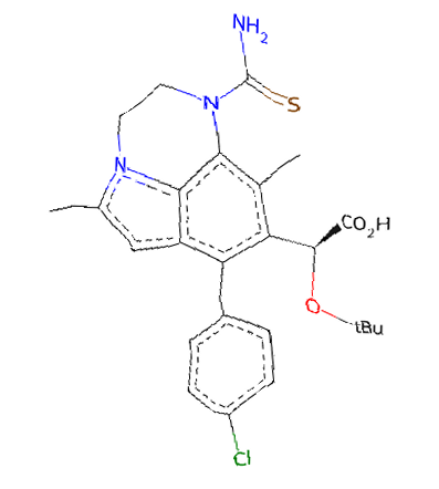 Cc1c([C@H](OC(C)(C)C)C(=O)O)c(-c2ccc(Cl)cc2)c2cc(C)n3c2c1N(C(N)=S)CC3